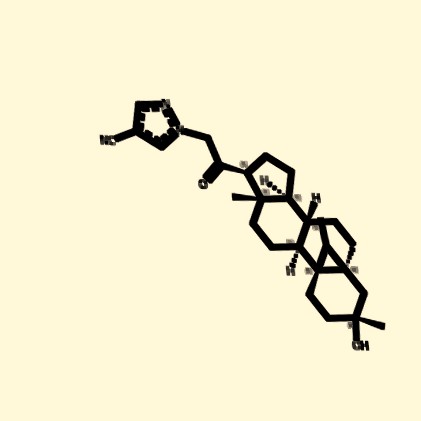 CC1[C@]23CC[C@H]4[C@@H]5CC[C@H](C(=O)Cn6cc(C#N)cn6)[C@@]5(C)CC[C@@H]4[C@]12CC[C@@](C)(O)C3